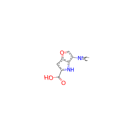 [C-]#[N+]c1coc2cc(C(=O)O)[nH]c12